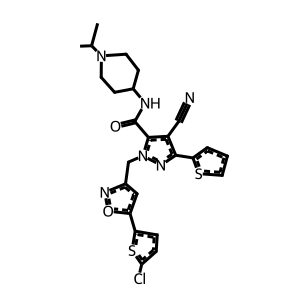 CC(C)N1CCC(NC(=O)c2c(C#N)c(-c3cccs3)nn2Cc2cc(-c3ccc(Cl)s3)on2)CC1